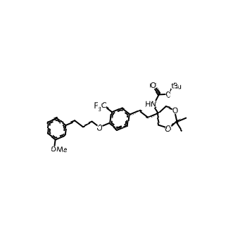 COc1cccc(CCCOc2ccc(CCC3(NC(=O)OC(C)(C)C)COC(C)(C)OC3)cc2C(F)(F)F)c1